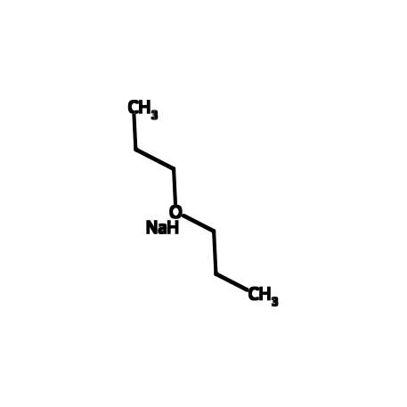 CCCOCCC.[NaH]